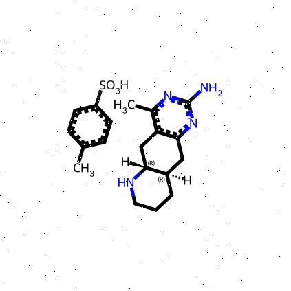 Cc1ccc(S(=O)(=O)O)cc1.Cc1nc(N)nc2c1C[C@H]1NCCC[C@@H]1C2